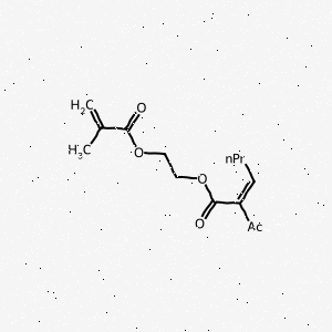 C=C(C)C(=O)OCCOC(=O)C(=CCCC)C(C)=O